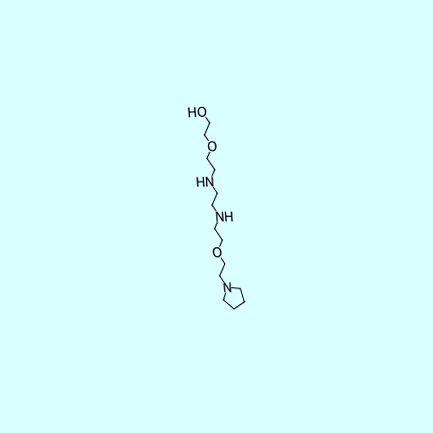 OCCOCCNCCNCCOCCN1CCCC1